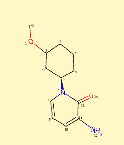 COC1CCC[C@@H](n2cccc(N)c2=O)C1